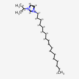 CCCCCCCCCCCCCCCCCCn1cc[n+](C(C)C)c1